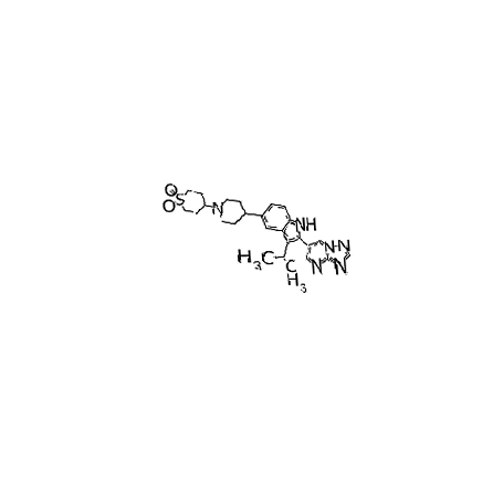 CC(C)c1c(-c2cnc3ncnn3c2)[nH]c2ccc(C3CCN(C4CCS(=O)(=O)CC4)CC3)cc12